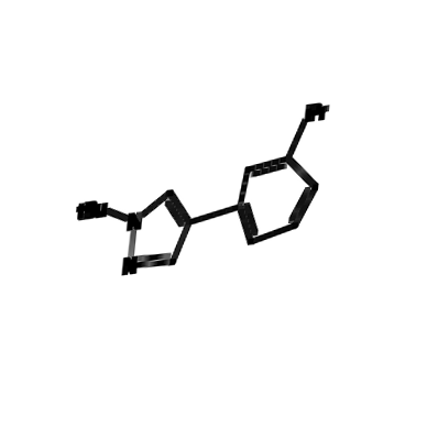 CC(C)c1cccc(-c2cnn(C(C)(C)C)c2)c1